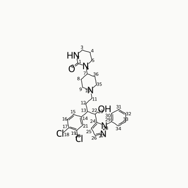 O=C1NCCCN1C1CCN(CCC(c2ccc(Cl)c(Cl)c2)C(O)c2ccnn2-c2ccccc2)CC1